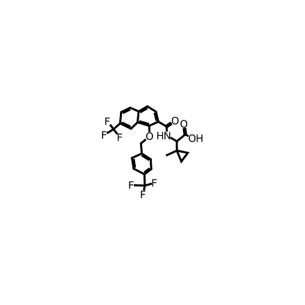 CC1(C(NC(=O)c2ccc3ccc(C(F)(F)F)cc3c2OCc2ccc(C(F)(F)F)cc2)C(=O)O)CC1